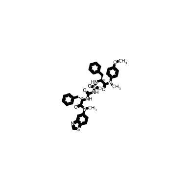 COc1ccc(N(C)C(=O)[C@H](Cc2ccccc2)NS(=O)(=O)NC(=O)N[C@@H](Cc2ccccc2)C(=O)N(C)c2ccc3scnc3c2)cc1